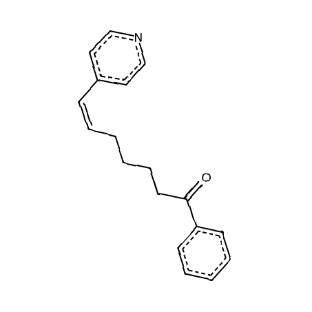 O=C(CCCC/C=C\c1ccncc1)c1ccccc1